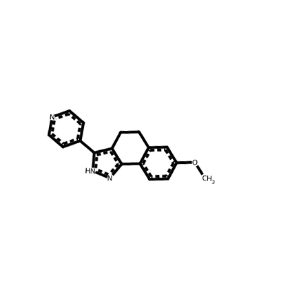 COc1ccc2c(c1)CCc1c-2n[nH]c1-c1ccncc1